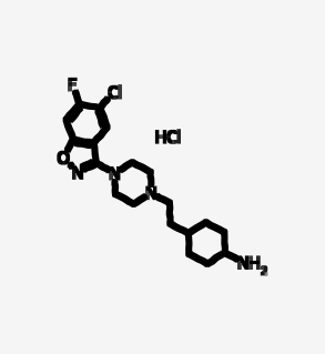 Cl.NC1CCC(CCN2CCN(c3noc4cc(F)c(Cl)cc34)CC2)CC1